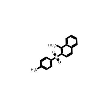 Nc1ccc(S(=O)(=O)c2ccc3ccccc3c2S(=O)(=O)O)cc1